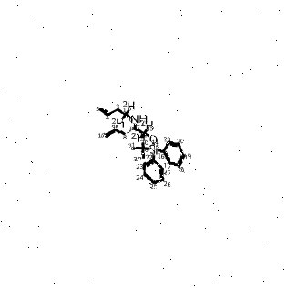 [2H]C([2H])(CC=C)N[C@@H](CC=C)C([2H])([2H])O[Si](c1ccccc1)(c1ccccc1)C(C)(C)C